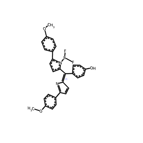 COc1ccc(C2=N/C(=C(/c3ccc(O)cc3)c3ccc(-c4ccc(OC)cc4)n3B(F)F)C=C2)cc1